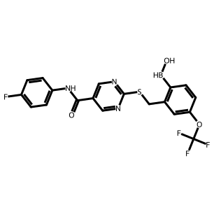 O=C(Nc1ccc(F)cc1)c1cnc(SCc2cc(OC(F)(F)F)ccc2BO)nc1